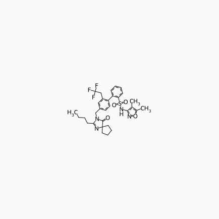 CCCCC1=NC2(CCCC2)C(=O)N1Cc1ccc(-c2ccccc2S(=O)(=O)Nc2noc(C)c2C)c(CC(F)(F)F)c1